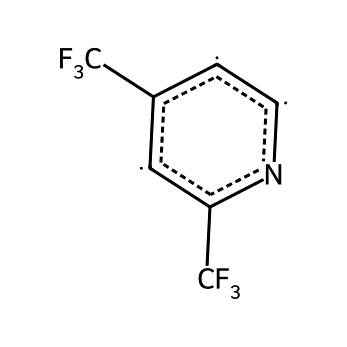 FC(F)(F)c1[c][c]nc(C(F)(F)F)[c]1